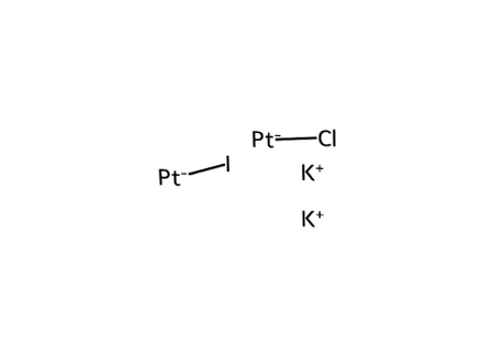 [Cl][Pt-].[I][Pt-].[K+].[K+]